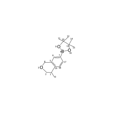 CC1COCc2cc(B3OC(C)(C)C(C)(C)O3)ccc21